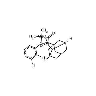 COC(=O)C12CC3C[C@H](C1)C(N1C(=O)C(C)(C)N1c1cccc(Cl)c1Cl)[C@H](C3)C2